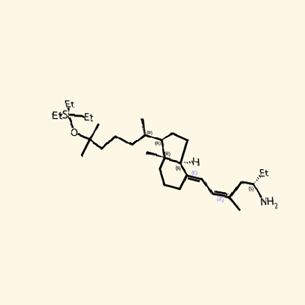 CC[C@H](N)C/C(C)=C\C=C1/CCC[C@]2(C)[C@@H]([C@H](C)CCCC(C)(C)O[Si](CC)(CC)CC)CC[C@@H]12